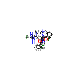 COc1cccc(Cl)c1C(=O)NC(CCCNC(=N)CF)c1ncc(-c2ccccc2Cl)o1